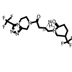 N[C@@H](CC(=O)N1CCn2c(nnc2C(F)(F)F)C1)CN1CC(C(F)(F)F)CCC1=O